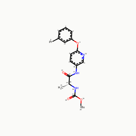 CC(C)c1cccc(Oc2ccc(NC(=O)[C@@H](C)NC(=O)OC(C)(C)C)cn2)c1